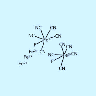 N#[C][Fe-3]([F])([C]#N)([C]#N)([C]#N)[C]#N.N#[C][Fe-3]([F])([C]#N)([C]#N)([C]#N)[C]#N.[Fe+2].[Fe+2].[Fe+2]